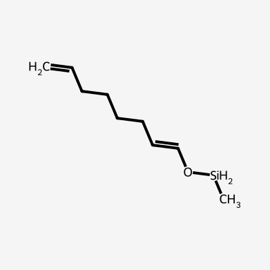 C=CCCCCC=CO[SiH2]C